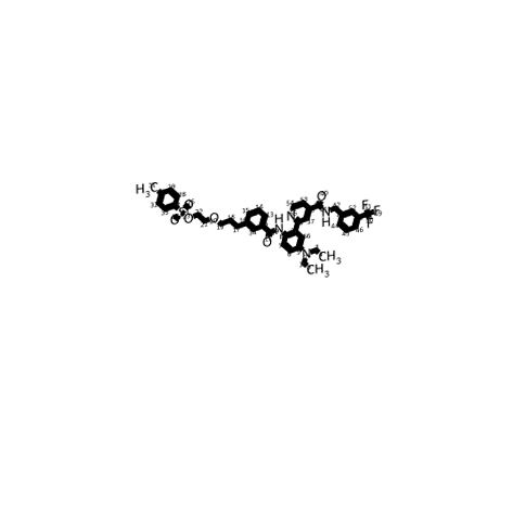 CCN(CC)c1ccc(NC(=O)c2cccc(CCCOCCOS(=O)(=O)c3ccc(C)cc3)c2)c(-c2cc(C(=O)NCc3cccc(C(F)(F)F)c3)ccn2)c1